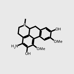 COc1cc2c(cc1O)CC1c3c(c(N)c(O)c(OC)c3-2)CCN1C